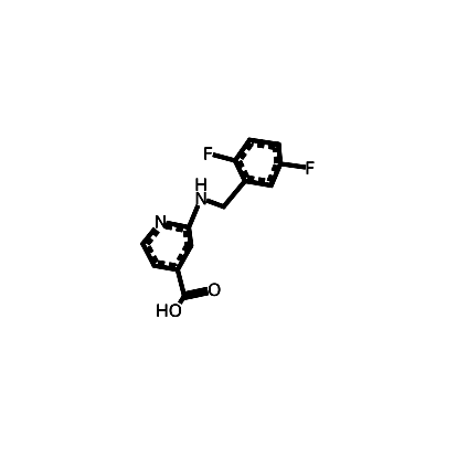 O=C(O)c1ccnc(NCc2cc(F)ccc2F)c1